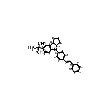 CC(C)(C)c1ccc2c(c1)C1CCCC1N2c1ccc(/C=C/c2ccccc2)cc1